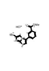 COC(=O)c1cccc(-c2csc3nc(C(C)(C)C)cn23)c1.Cl